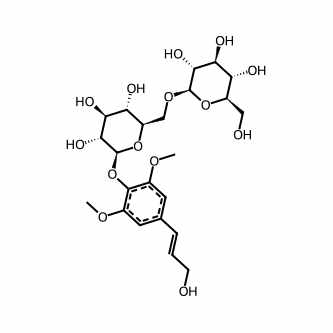 COc1cc(/C=C/CO)cc(OC)c1O[C@@H]1O[C@H](CO[C@@H]2O[C@H](CO)[C@@H](O)[C@H](O)[C@H]2O)[C@@H](O)[C@H](O)[C@H]1O